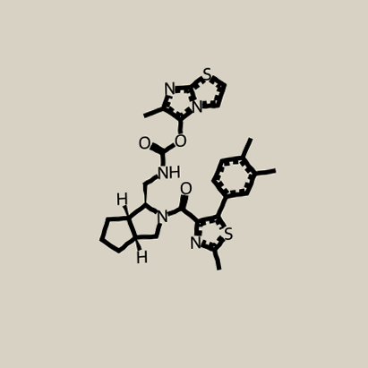 Cc1nc(C(=O)N2C[C@@H]3CCC[C@@H]3[C@H]2CNC(=O)Oc2c(C)nc3sccn23)c(-c2ccc(C)c(C)c2)s1